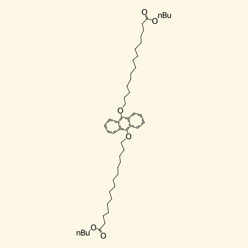 CCCCOC(=O)CCCCCCCCCCCCCCOc1c2ccccc2c(OCCCCCCCCCCCCCCC(=O)OCCCC)c2ccccc12